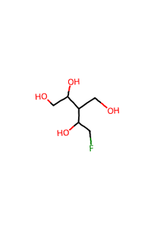 OCC(O)C(CO)C(O)CF